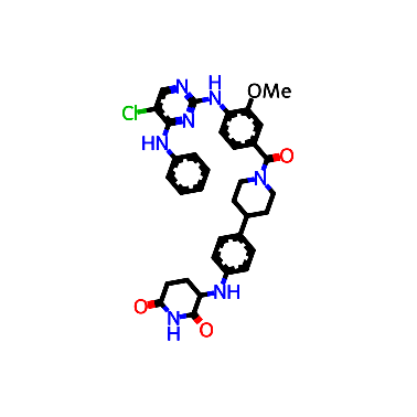 COc1cc(C(=O)N2CCC(c3ccc(NC4CCC(=O)NC4=O)cc3)CC2)ccc1Nc1ncc(Cl)c(Nc2ccccc2)n1